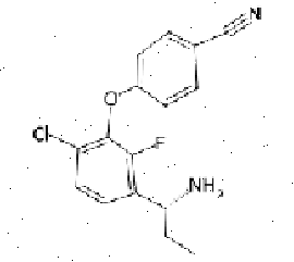 CC[C@@H](N)c1ccc(Cl)c(Oc2ccc(C#N)cc2)c1F